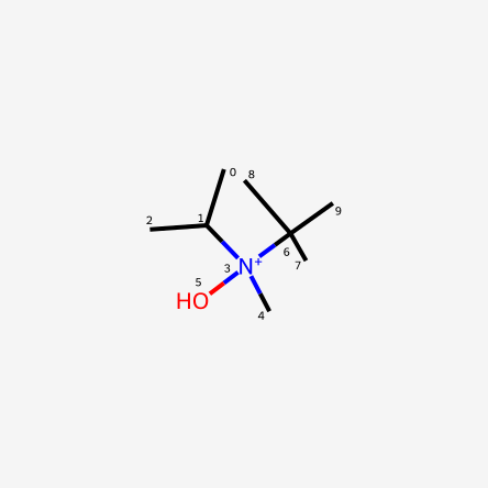 CC(C)[N+](C)(O)C(C)(C)C